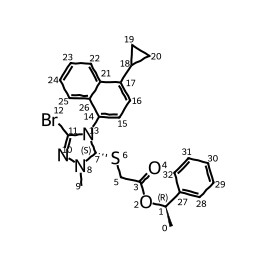 C[C@@H](OC(=O)CS[C@@H]1N(C)N=C(Br)N1c1ccc(C2CC2)c2ccccc12)c1ccccc1